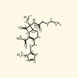 CO[C@@]1(NC(=O)CSSC)C(=O)N2C(C(=O)O)=C(CSc3nnnn3C)CS[C@@H]21